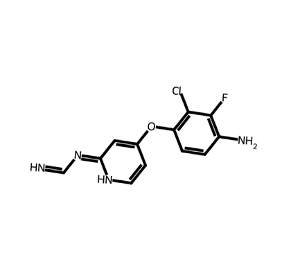 N=C/N=c1/cc(Oc2ccc(N)c(F)c2Cl)cc[nH]1